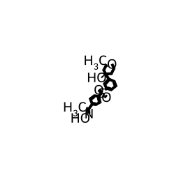 CC(=NO)c1ccc(S(=O)(=O)c2cccc([C@@]3(O)CCO[C@@H](C)C3)c2)cc1